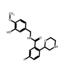 COc1ccc(CNC(=O)c2cc(F)ccc2C2CNCCO2)cc1O